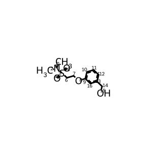 CN(C)S(=O)(=O)CCOc1cc[c]c(CO)c1